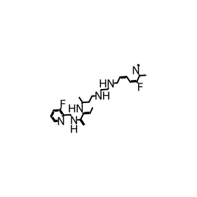 C=NC(C)/C(F)=C\C=C/CNCCNCCC(C)N/C(=C\C)C(=C)NCc1ncccc1F